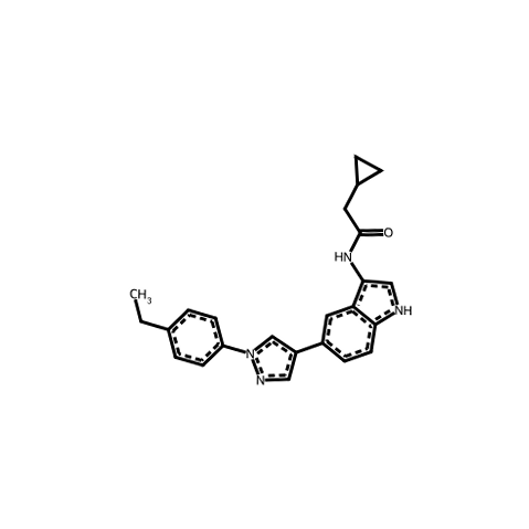 CCc1ccc(-n2cc(-c3ccc4[nH]cc(NC(=O)CC5CC5)c4c3)cn2)cc1